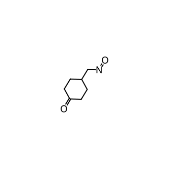 O=NCC1CCC(=O)CC1